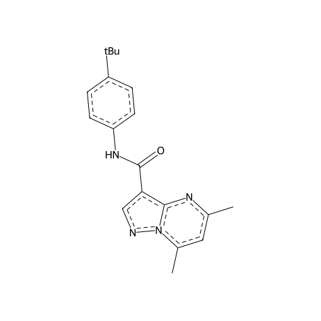 Cc1cc(C)n2ncc(C(=O)Nc3ccc(C(C)(C)C)cc3)c2n1